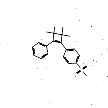 CC1(C)C(c2ccc(S(C)(=O)=O)cc2)=C(c2ccccc2)C1(C)O